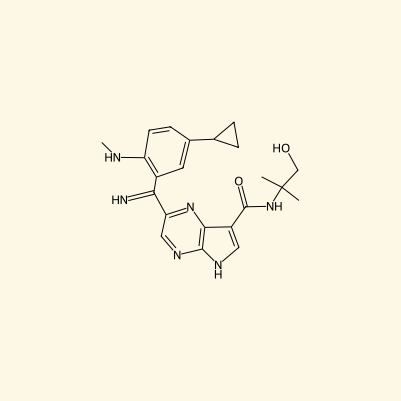 CNc1ccc(C2CC2)cc1C(=N)c1cnc2[nH]cc(C(=O)NC(C)(C)CO)c2n1